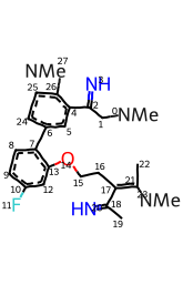 CNCC(=N)c1cc(-c2ccc(F)cc2OCC/C(C(C)=N)=C(\C)NC)ccc1NC